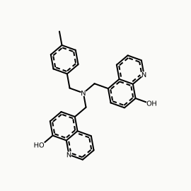 Cc1ccc(CN(Cc2ccc(O)c3ncccc23)Cc2ccc(O)c3ncccc23)cc1